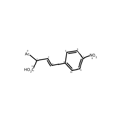 CC(=O)C(C=Cc1ccc([N+](=O)[O-])cc1)C(=O)O